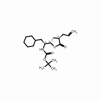 C=CC[C@@H]1C[C@@H]([C@H](CC2CCCCC2)NC(=O)OC(C)(C)C)OC1=O